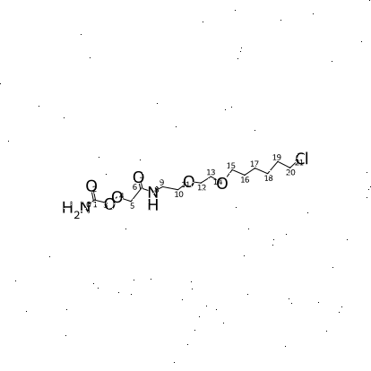 NC(=O)OOCC(=O)NCCOCCOCCCCCCCl